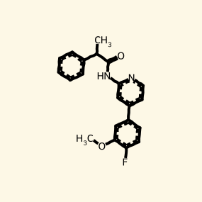 COc1cc(-c2ccnc(NC(=O)C(C)c3ccccc3)c2)ccc1F